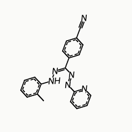 Cc1ccccc1NN=C(N=Nc1ccccn1)c1ccc(C#N)cc1